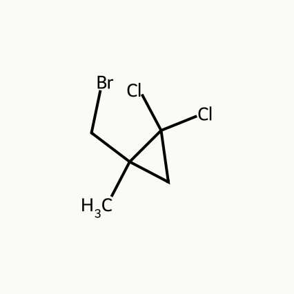 CC1(CBr)CC1(Cl)Cl